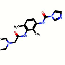 CCN(CC)CC(=O)Nc1c(C)ccc(NC(=O)n2ccnc2)c1C